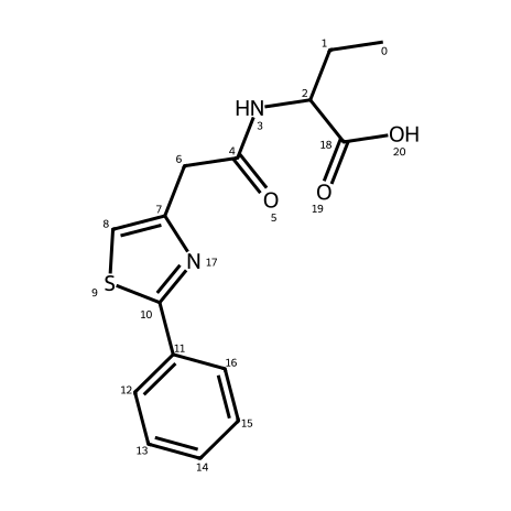 CCC(NC(=O)Cc1csc(-c2ccccc2)n1)C(=O)O